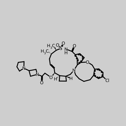 C[C@@H]1[C@@H](C)C/C=C/[C@H](OCC(=O)N2CC(N3CCCC3)C2)[C@@H]2CC[C@H]2CN2CCCCc3cc(Cl)ccc3COc3ccc(cc32)C(=O)NS1(=O)=O